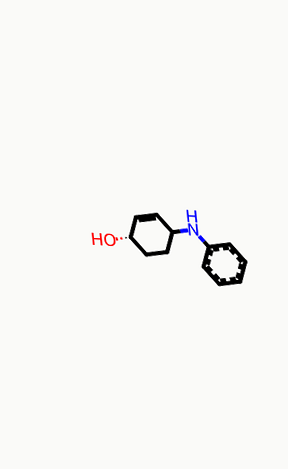 O[C@@H]1C=CC(Nc2ccccc2)CC1